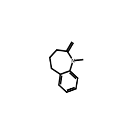 C=C1CCCc2ccccc2N1C